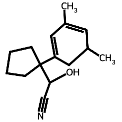 CC1=CC(C)CC(C2(C(O)C#N)CCCC2)=C1